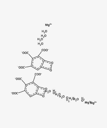 O.O.O.O.O.O.O.O.O.O.O.O.O=C([O-])c1cc2ooc2c(C(=O)[O-])c1C(=O)[O-].O=C([O-])c1cc2ooc2c(C(=O)[O-])c1C(=O)[O-].[Mg+2].[Mg+2].[Mg+2]